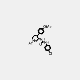 COc1ccc(C2CCN(C(C)=O)CC2NC(=O)Nc2ccc(Cl)cc2)cc1